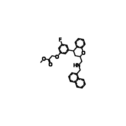 COC(=O)COc1cc(F)cc(C2CC(CNCc3cccc4ccccc34)Oc3ccccc32)c1